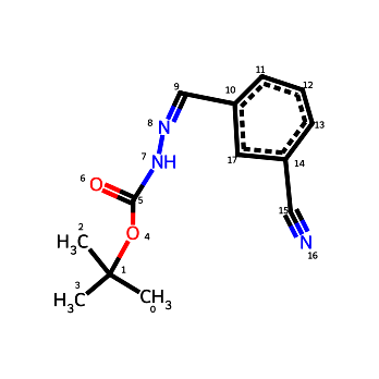 CC(C)(C)OC(=O)N/N=C\c1cccc(C#N)c1